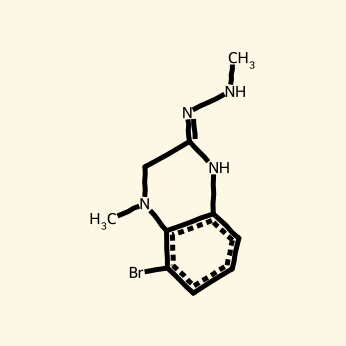 CN/N=C1/CN(C)c2c(Br)cccc2N1